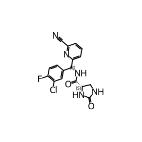 N#Cc1cccc([C@H](NC(=O)[C@@H]2CNC(=O)N2)c2ccc(F)c(Cl)c2)n1